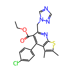 CCOC(=O)c1c(Cn2cncn2)nc2sc(C)c(C)c2c1-c1ccc(Cl)cc1